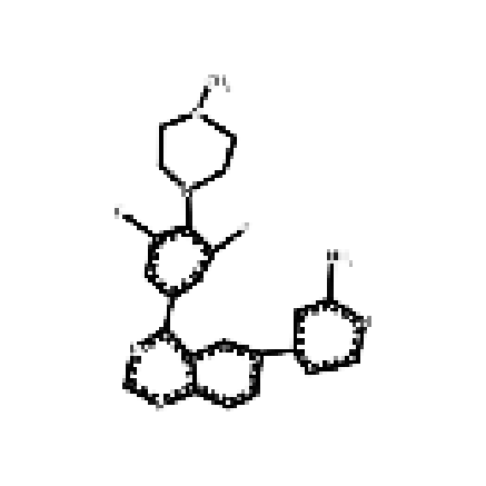 CN1CCN(c2c(F)cc(-c3ncnc4ccc(-c5ccnc(N)c5)cc34)cc2F)CC1